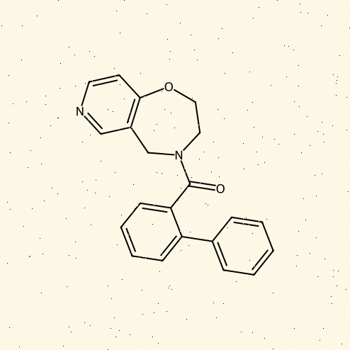 O=C(c1ccccc1-c1ccccc1)N1CCOc2ccncc2C1